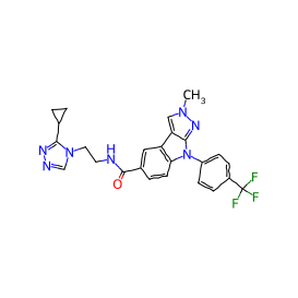 Cn1cc2c3cc(C(=O)NCCn4cnnc4C4CC4)ccc3n(-c3ccc(C(F)(F)F)cc3)c2n1